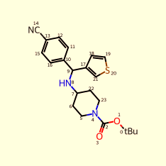 CC(C)(C)OC(=O)N1CCC(NC(c2ccc(C#N)cc2)c2ccsc2)CC1